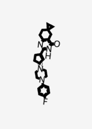 O=c1[nH]c(C2=C[C@H](N3CCN(c4ccc(F)cc4)CC3)CC2)nc2c1CC1(CC2)CC1